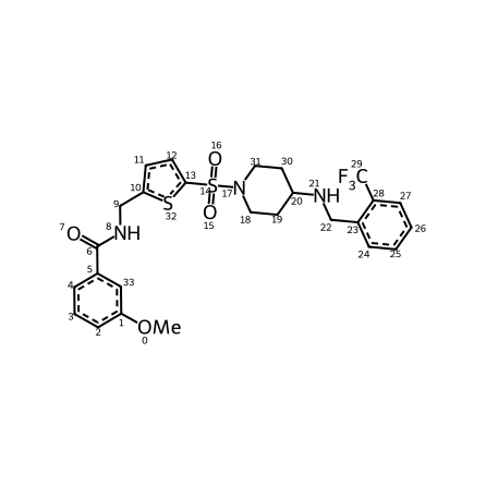 COc1cccc(C(=O)NCc2ccc(S(=O)(=O)N3CCC(NCc4ccccc4C(F)(F)F)CC3)s2)c1